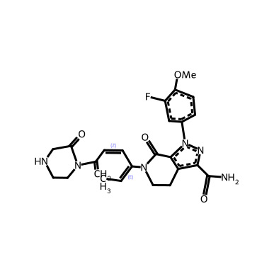 C=C(/C=C\C(=C/C)N1CCc2c(C(N)=O)nn(-c3ccc(OC)c(F)c3)c2C1=O)N1CCNCC1=O